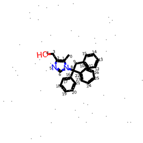 Cc1c(CO)ncn1C(Cc1ccccc1)(c1ccccc1)c1ccccc1